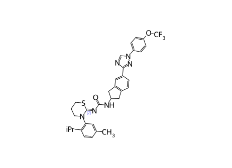 Cc1ccc(C(C)C)c(N2CCCS/C2=N\C(=O)NC2Cc3ccc(-c4ncn(-c5ccc(OC(F)(F)F)cc5)n4)cc3C2)c1